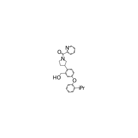 CC(C)c1ccccc1Oc1ccc(C2CCN(C(=O)c3ccccn3)C2)c(CO)c1